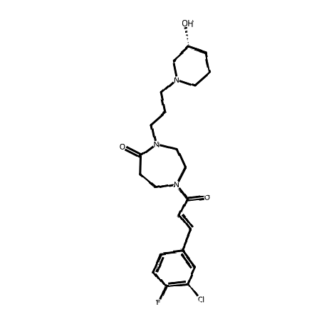 O=C(C=Cc1ccc(F)c(Cl)c1)N1CCC(=O)N(CCCN2CCC[C@@H](O)C2)CC1